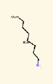 CCCCCCCCCCCCN.[NaH]